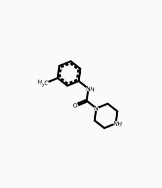 Cc1cccc(NC(=O)N2CCNCC2)c1